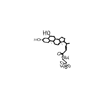 CC(CCC(=O)NCCS(=O)(=O)O)C1CCC2C3C[C@H](O)C4C[C@H](O)CC[C@]4(C)C3CC[C@]12C